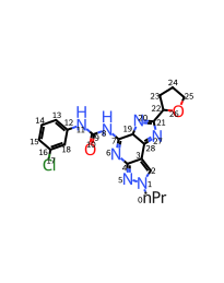 CCCn1cc2c(n1)N=C(NC(=O)Nc1cccc(Cl)c1)C1N=C(C3CCCO3)N=C21